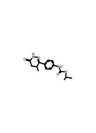 CC(C)OC(=O)Nc1ccc(C2=NNC(=O)CC2C)cc1